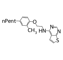 CCCCCc1ccc(OCCNc2ncnc3sccc23)c(C)c1